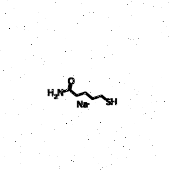 NC(=O)CCCCS.[Na]